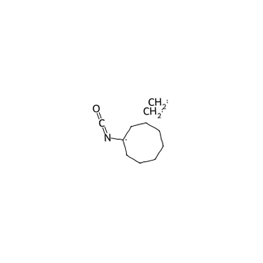 O=C=N[C]1CCCCCCC1.[CH2].[CH2]